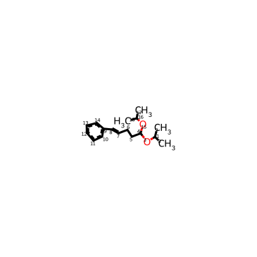 CC(C)OC(CCC=Cc1ccccc1)OC(C)C